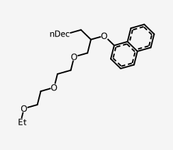 CCCCCCCCCCCC(COCCOCCOCC)Oc1cccc2ccccc12